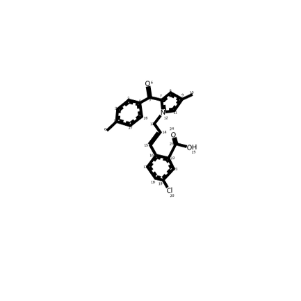 Cc1ccc(C(=O)c2cc(C)cn2C/C=C/c2ccc(Cl)cc2C(=O)O)cc1